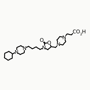 O=C(O)CCN1CCN(CC2CN(CCCCN3CCN(C4CCCCC4)CC3)C(=O)O2)CC1